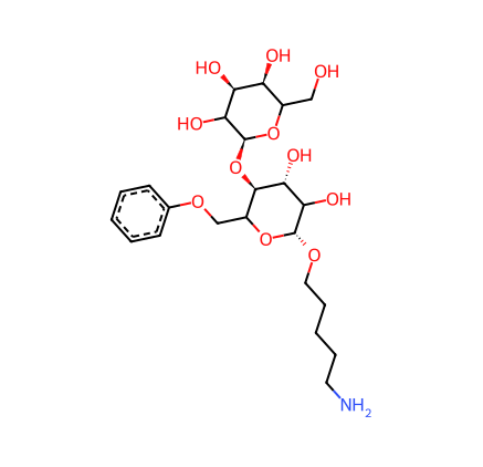 NCCCCCO[C@@H]1OC(COc2ccccc2)[C@@H](O[C@@H]2OC(CO)[C@H](O)[C@H](O)C2O)[C@H](O)C1O